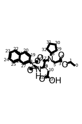 CCOC(=O)CN(C(=O)[C@H](CC(=O)O)NS(=O)(=O)c1ccc2ccccc2c1)C1CCCC1